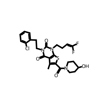 Cc1c(C(=O)N2CCC(O)CC2)sc2c1c(=O)n(CCc1ccccc1Cl)c(=O)n2CCC=C(F)F